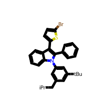 CC(C)Cc1cc(-n2c(-c3ccccc3)c(-c3ccc(Br)s3)c3ccccc32)cc(C(C)(C)C)c1